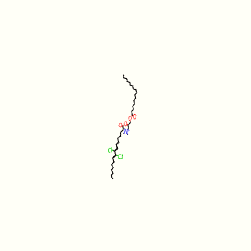 CCCCCCCC/C=C\CCCCCCCC(=O)OCC(C[N+](C)(C)C)OC(=O)CCCCCCCC(Cl)C(Cl)CCCCCCCC